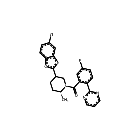 C[C@@H]1CCC(c2nc3cc(Cl)ccc3o2)CN1C(=O)c1cc(F)ccc1-c1ncccn1